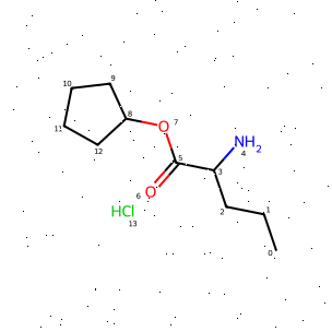 CCCC(N)C(=O)OC1CCCC1.Cl